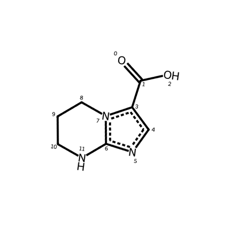 O=C(O)c1cnc2n1CCCN2